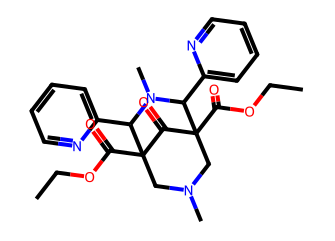 CCOC(=O)C12CN(C)CC(C(=O)OCC)(C1=O)C(c1ccccn1)N(C)C2c1ccccn1